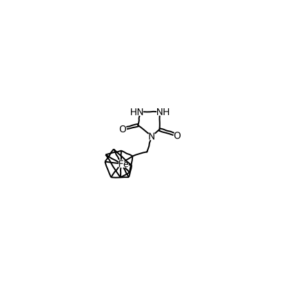 O=c1[nH][nH]c(=O)n1C[C]12[CH]3[CH]4[CH]5[CH]1[Fe]45321678[CH]2[CH]1[CH]6[CH]7[CH]28